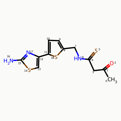 CC(=O)CC(=S)NCc1ccc(-c2csc(N)n2)s1